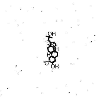 COc1cc2c(cc1O)CC[C@@H]1[C@@H]2CC[C@]2(C)[C@@H]([C@H](C)C(C)(C)O)CC[C@@H]12